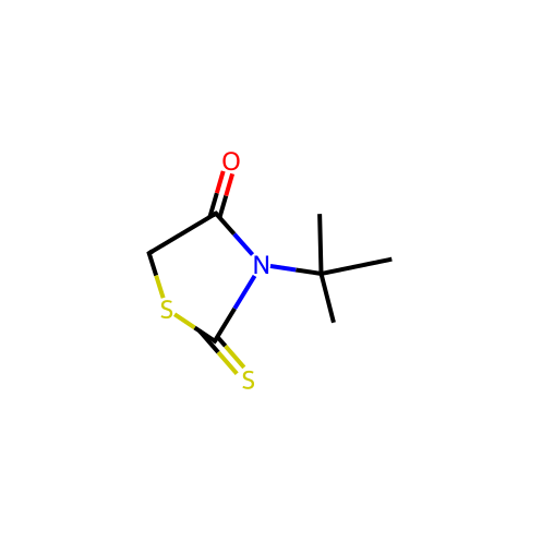 CC(C)(C)N1C(=O)CSC1=S